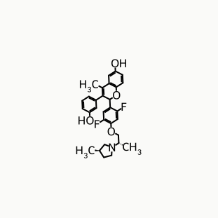 CC1=C(c2cccc(O)c2)C(c2cc(F)c(OC[C@H](C)N3CC[C@@H](C)C3)cc2F)Oc2ccc(O)cc21